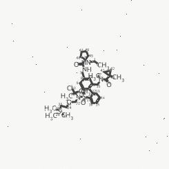 CCNC1(C(=O)NCc2ccc(-c3ccccc3S(=O)(=O)N(COCC[Si](C)(C)C)C(C)(C)Cl)c(CN(C)C(=O)C3(C)CC3)c2)CCCC1